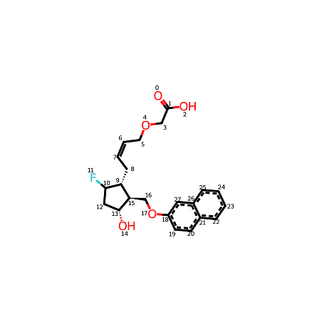 O=C(O)COC/C=C\C[C@H]1C(F)C[C@@H](O)[C@@H]1COc1ccc2ccccc2c1